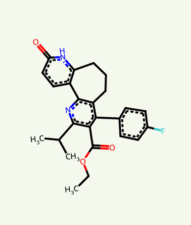 CCOC(=O)c1c(C(C)C)nc2c(c1-c1ccc(F)cc1)CCCc1[nH]c(=O)ccc1-2